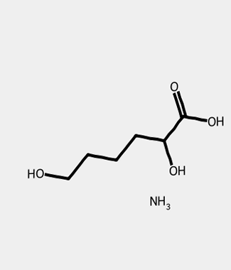 N.O=C(O)C(O)CCCCO